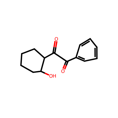 O=C(C(=O)C1CCCCC1O)c1ccccc1